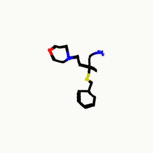 CC(CN)(CCN1CCOCC1)SCC1C=CC=CC1